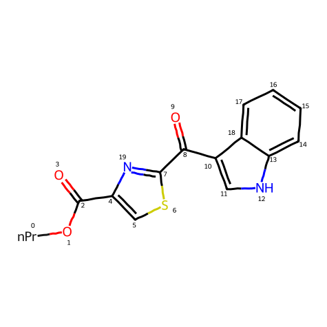 CCCOC(=O)c1csc(C(=O)c2c[nH]c3ccccc23)n1